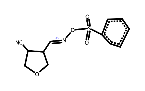 N#CC1COCC1/C=N/OS(=O)(=O)c1ccccc1